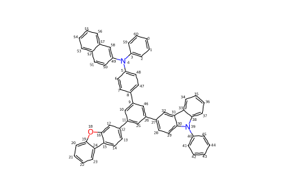 c1ccc(N(c2ccc(-c3cc(-c4ccc5c(c4)oc4ccccc45)cc(-c4ccc5c(c4)c4ccccc4n5-c4ccccc4)c3)cc2)c2ccc3ccccc3c2)cc1